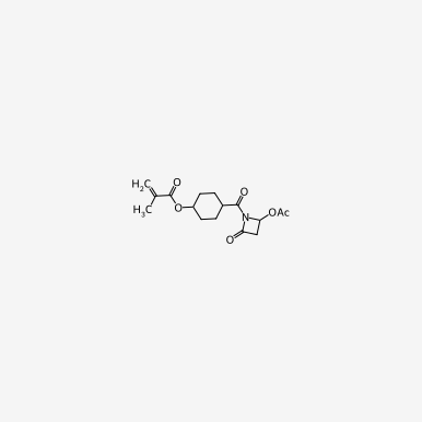 C=C(C)C(=O)OC1CCC(C(=O)N2C(=O)CC2OC(C)=O)CC1